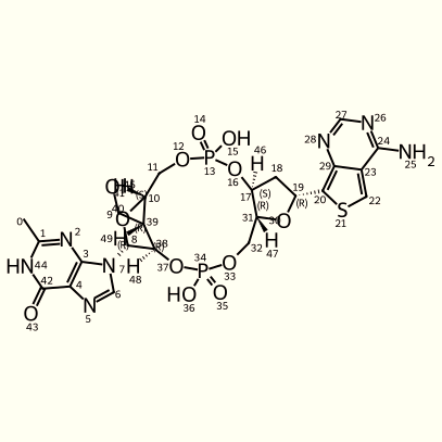 Cc1nc2c(ncn2[C@@H]2O[C@@H]3COP(=O)(O)O[C@H]4C[C@H](c5scc6c(N)ncnc56)O[C@@H]4COP(=O)(O)O[C@@H]2[C@@H]3CO)c(=O)[nH]1